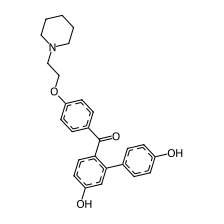 O=C(c1ccc(OCCN2CCCCC2)cc1)c1ccc(O)cc1-c1ccc(O)cc1